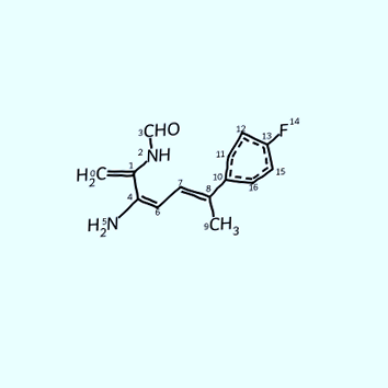 C=C(NC=O)/C(N)=C\C=C(/C)c1ccc(F)cc1